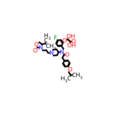 CC(C)COc1ccc(CC(=O)N(Cc2ccc(F)cc2)C2CCN(CCCN3C(=O)OCC3C(C)C)CC2)cc1.O=C(O)C(=O)O